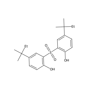 CCC(C)(C)c1ccc(O)c(S(=O)(=O)c2cc(C(C)(C)CC)ccc2O)c1